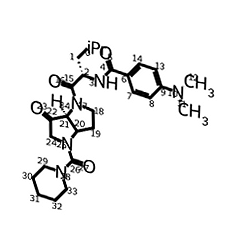 CC(C)C[C@H](NC(=O)c1ccc(N(C)C)cc1)C(=O)N1CCC2[C@H]1C(=O)CN2C(=O)N1CCCCC1